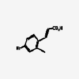 CCc1ccc(/C=C/C(=O)O)c(C)c1